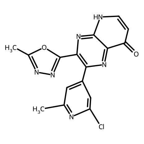 Cc1cc(-c2nc3c(=O)cc[nH]c3nc2-c2nnc(C)o2)cc(Cl)n1